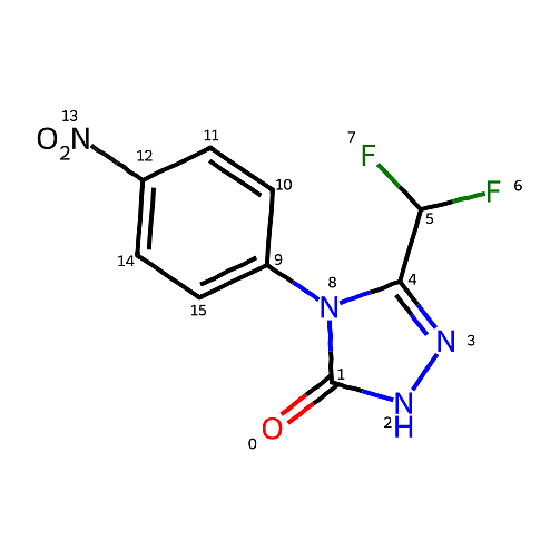 O=c1[nH]nc(C(F)F)n1-c1ccc([N+](=O)[O-])cc1